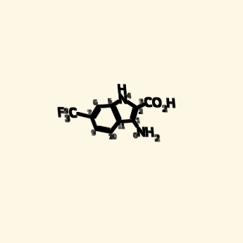 Nc1c(C(=O)O)[nH]c2cc(C(F)(F)F)ccc12